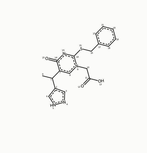 CC(c1cn[nH]c1)c1cn(CC(=O)O)c(SCc2ccccc2)nc1=O